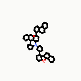 c1cc(-c2cccc3oc4c5ccccc5ccc4c23)cc(N(c2ccc(-c3cccc4c3ccc3ccccc34)cc2)c2ccccc2-c2cccc3ccccc23)c1